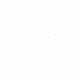 O=C(O)CSCCCSC1C(=O)CC[C@@H]1C=CC(O)CCc1ccc2ccccc2c1